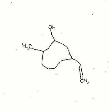 C=CC1CCC(C)C(O)C1